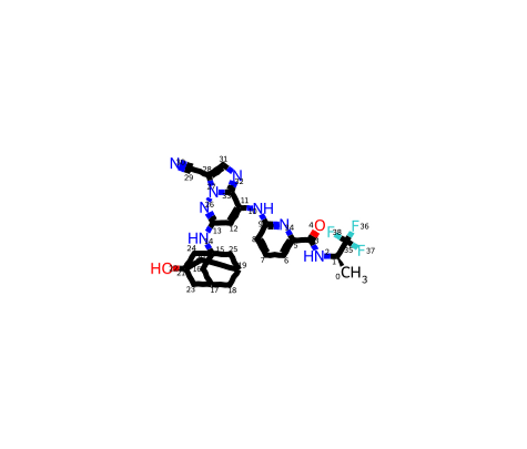 C[C@@H](NC(=O)c1cccc(Nc2cc(NC34CC5CC(CC(O)(C5)C3)C4)nn3c(C#N)cnc23)n1)C(F)(F)F